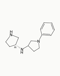 c1ccc(N2CCC(N[C@@H]3CCNC3)C2)cc1